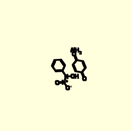 O=C1C=CC(=O)C=C1.O=[N+]([O-])N(O)c1ccccc1.[AlH3]